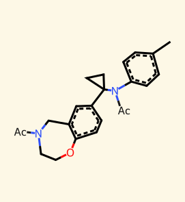 CC(=O)N1CCOc2ccc(C3(N(C(C)=O)c4ccc(C)cc4)CC3)cc2C1